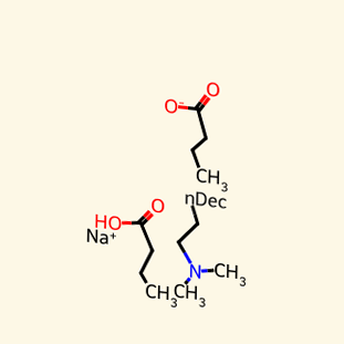 CCCC(=O)O.CCCC(=O)[O-].CCCCCCCCCCCCN(C)C.[Na+]